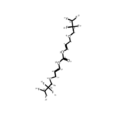 O=C(OC=CCOCC(F)(F)C(F)F)OC=CCOCC(F)(F)C(F)F